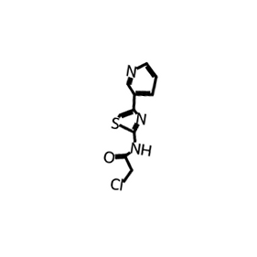 O=C(CCl)Nc1nc(-c2cccnc2)cs1